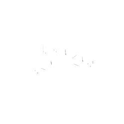 CC1=C(c2ccc([N+](=O)[O-])cc2)CC(C(=O)C2NCC3(CC3)CC2C(=O)NO)NC1